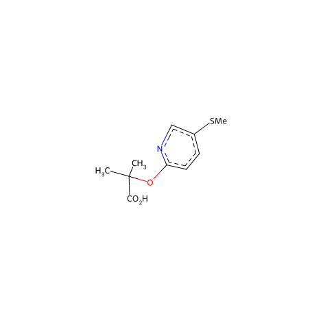 CSc1ccc(OC(C)(C)C(=O)O)nc1